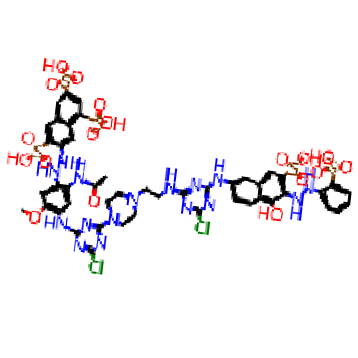 COc1cc(NNc2cc3c(S(=O)(=O)O)cc(S(=O)(=O)O)cc3cc2S(=O)(=O)O)c(NC(C)=O)cc1Nc1nc(Cl)nc(N2CCN(CCNc3nc(Cl)nc(Nc4ccc5c(O)c(NNc6ccccc6S(=O)(=O)O)c(S(=O)(=O)O)cc5c4)n3)CC2)n1